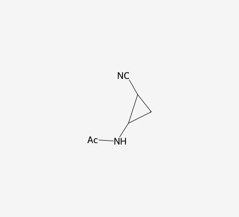 CC(=O)NC1CC1C#N